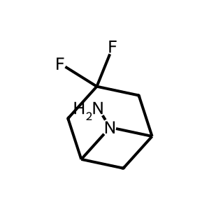 NN1C2CC1CC(F)(F)C2